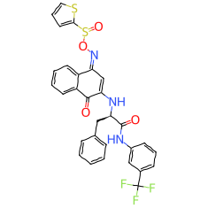 O=C1C(N[C@H](Cc2ccccc2)C(=O)Nc2cccc(C(F)(F)F)c2)=C/C(=N/OS(=O)c2cccs2)c2ccccc21